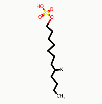 CCCC[CH]([K])CCCCCCCOS(=O)(=O)O